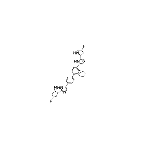 F[C@@H]1CNC(c2ncc(-c3ccc(-c4ccc(-c5cnc([C@@H]6C[C@H](F)CN6)[nH]5)cc4)c4c3C3CCC4C3)[nH]2)C1